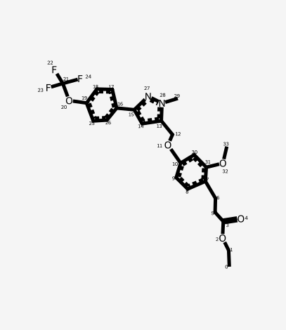 CCOC(=O)CCc1ccc(OCc2cc(-c3ccc(OC(F)(F)F)cc3)nn2C)cc1OC